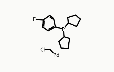 Cl[CH2][Pd].Fc1ccc(P(C2CCCC2)C2CCCC2)cc1